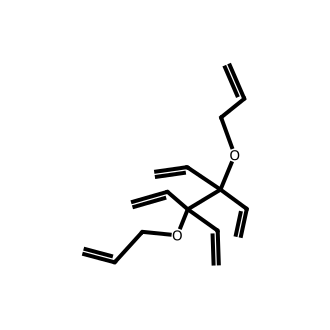 C=CCOC(C=C)(C=C)C(C=C)(C=C)OCC=C